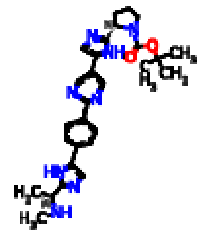 CN[C@@H](C)c1ncc(-c2ccc(-c3ncc(-c4cnc([C@@H]5CCCN5C(=O)OC(C)(C)C)[nH]4)cn3)cc2)[nH]1